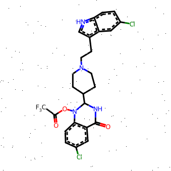 O=C1NC(C2CCN(CCc3c[nH]c4ccc(Cl)cc34)CC2)N(OC(=O)C(F)(F)F)c2ccc(Cl)cc21